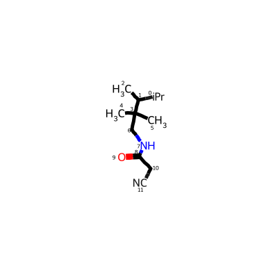 CC(C)C(C)C(C)(C)CNC(=O)CC#N